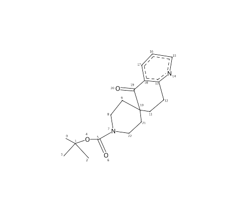 CC(C)(C)OC(=O)N1CCC2(CCc3ncccc3C2=O)CC1